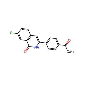 COC(=O)c1ccc(-c2cc3ccc(F)cc3c(=O)[nH]2)cc1